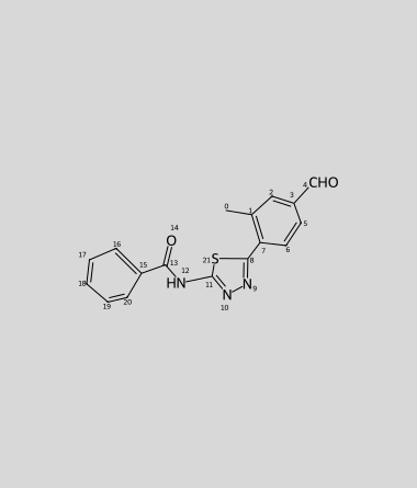 Cc1cc(C=O)ccc1-c1nnc(NC(=O)c2ccccc2)s1